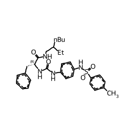 CCCCC(CC)CNC(=O)[C@@H](Cc1ccccc1)NC(=O)Nc1ccc(NS(=O)(=O)c2ccc(C)cc2)cc1